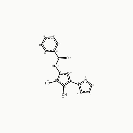 O=C(Nc1oc(-c2nccs2)c(O)c1O)c1ccccc1